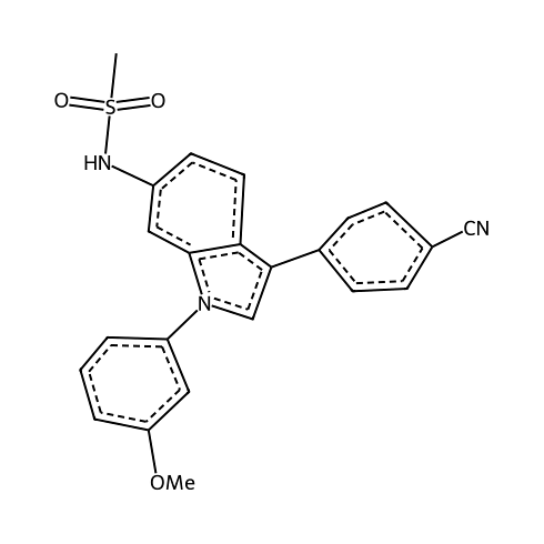 COc1cccc(-n2cc(-c3ccc(C#N)cc3)c3ccc(NS(C)(=O)=O)cc32)c1